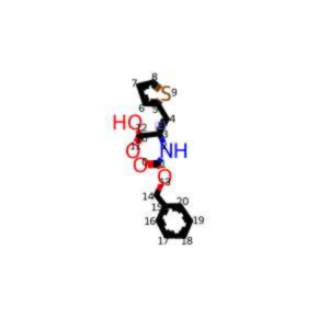 O=C(N/C(=C/c1cccs1)C(=O)O)OCc1ccccc1